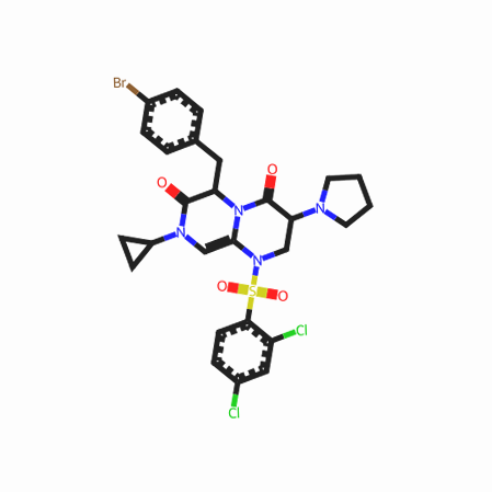 O=C1C(Cc2ccc(Br)cc2)N2C(=O)C(N3CCCC3)CN(S(=O)(=O)c3ccc(Cl)cc3Cl)C2=CN1C1CC1